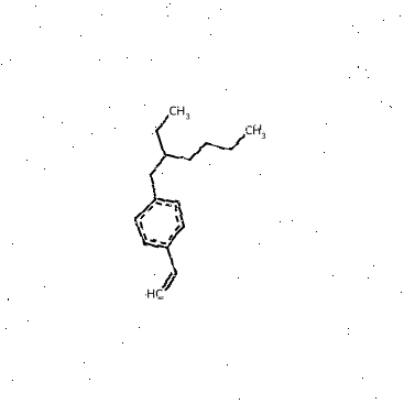 [CH]=Cc1ccc(CC(CC)CCCC)cc1